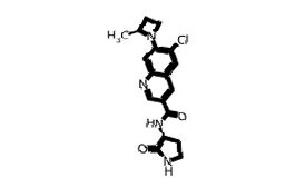 C[C@H]1CCN1c1cc2ncc(C(=O)N[C@H]3CCNC3=O)cc2cc1Cl